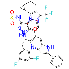 Cn1nc(NS(C)(=O)=O)c2cccc(-c3cc4[nH]c(-c5ccccc5)cc4nc3[C@H](Cc3cc(F)cc(F)c3)NC(=O)Cn3nc(C(F)(F)F)c4c3C3CC3CC4)c21